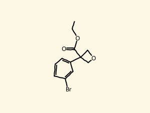 CCOC(=O)C1(c2cccc(Br)c2)COC1